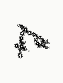 Cc1ncsc1-c1ccc([C@H](C)NC(=O)[C@@H]2C[C@@H](O)CN2C(=O)[C@@H](NC(=O)CN2CCN(CCc3ccc(N4CCN(C[C@]5(C)CCC(c6ccc(Cl)cc6)=C(CN6CCN(c7ccc(C(=O)NS(=O)(=O)c8ccc(N[C@H](CCN9CCCOCC9)CSc9ccccc9)c(S(=O)(=O)C(F)(F)F)c8)cc7)CC6)C5)CC4)nc3)CC2)C(C)(C)C)cc1